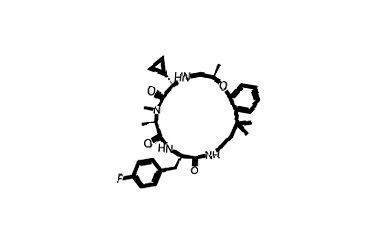 C[C@@H]1CN[C@@H](C2CC2)C(=O)N(C)[C@H](C)C(=O)N[C@H](Cc2ccc(F)cc2)C(=O)NCCC(C)(C)c2ccccc2O1